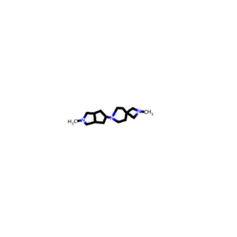 CN1CC2CC(N3CCC4(CC3)CN(C)C4)CC2C1